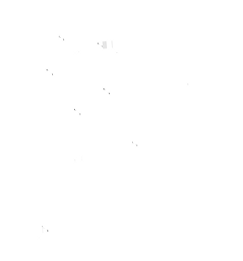 CC(C)(O)C#Cc1ncc(OCCCN)c2[nH]c(-c3nonc3N)nc12